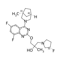 CC(O)(COc1nc(N2C[C@@H]3CC[C@@](C)(C3)C2)c2cc(F)cc(F)c2n1)CN1CC[C@H](F)C1